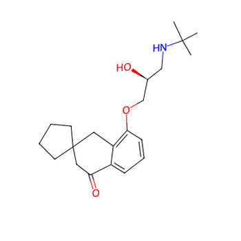 CC(C)(C)NC[C@H](O)COc1cccc2c1CC1(CCCC1)CC2=O